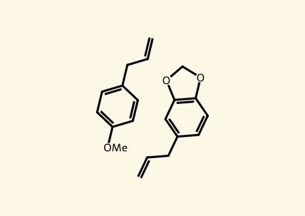 C=CCc1ccc(OC)cc1.C=CCc1ccc2c(c1)OCO2